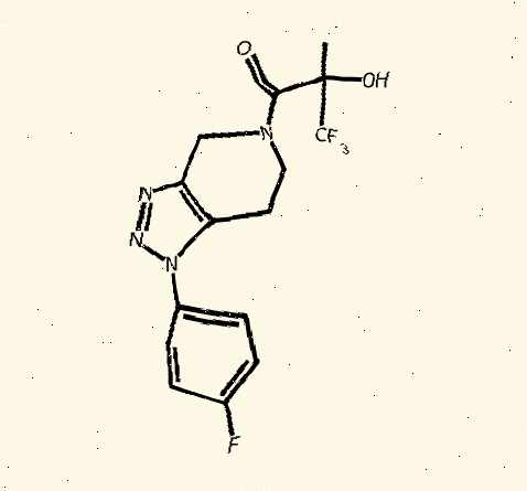 CC(O)(C(=O)N1CCc2c(nnn2-c2ccc(F)cc2)C1)C(F)(F)F